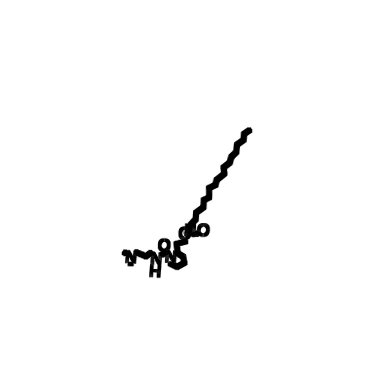 CCCCCCCCCCCCCCCCCCN(C=O)OCCC1CCCCN1C(=O)NCCCN(C)C